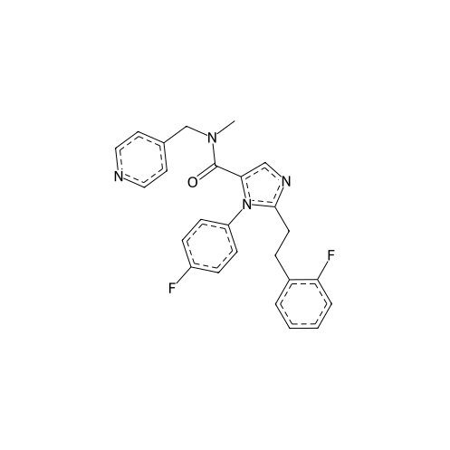 CN(Cc1ccncc1)C(=O)c1cnc(CCc2ccccc2F)n1-c1ccc(F)cc1